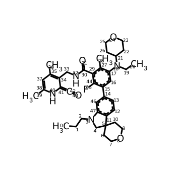 CCCN1CC2(CCOCC2)c2ccc(-c3cc(N(CC)C4CCOCC4)c(C)c(C(=O)NCC4=C(C)C=C(C)NC4=C=O)c3F)cc21